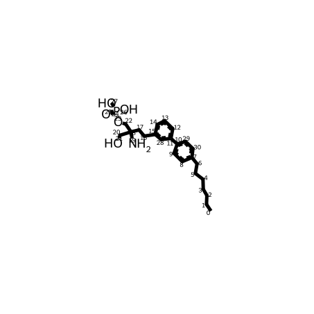 CCCCCCCc1ccc(-c2cccc(CCC(N)(CO)COP(=O)(O)O)c2)cc1